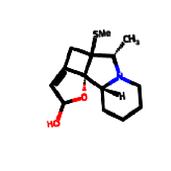 CSC12CC3=CC(O)O[C@]31[C@H]1CCCCN1[C@H]2C